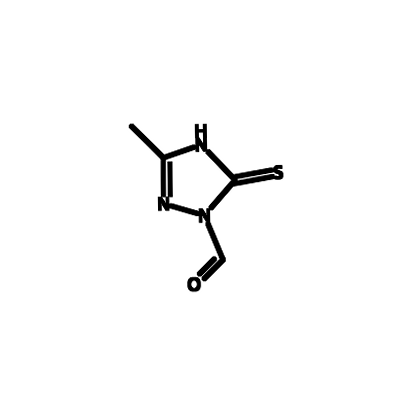 Cc1nn(C=O)c(=S)[nH]1